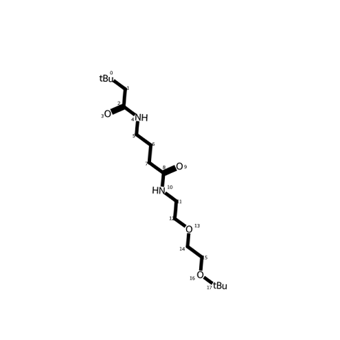 CC(C)(C)CC(=O)NCCCC(=O)NCCOCCOC(C)(C)C